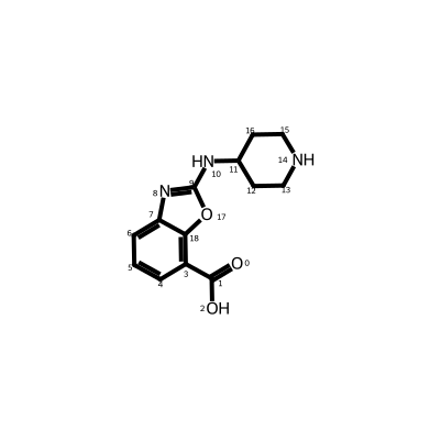 O=C(O)c1cccc2nc(NC3CCNCC3)oc12